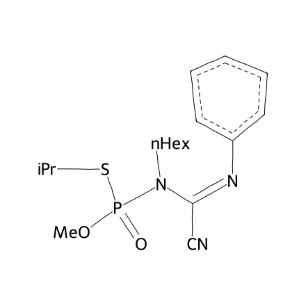 CCCCCCN(C(C#N)=Nc1ccccc1)P(=O)(OC)SC(C)C